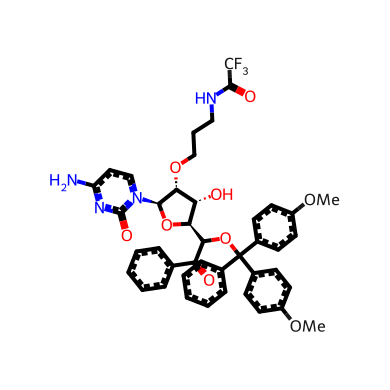 COc1ccc(C(OC(C(=O)c2ccccc2)[C@H]2O[C@@H](n3ccc(N)nc3=O)[C@H](OCCCNC(=O)C(F)(F)F)[C@@H]2O)(c2ccccc2)c2ccc(OC)cc2)cc1